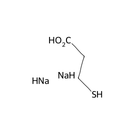 O=C(O)CCS.[NaH].[NaH]